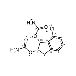 NC(=O)O[C@H]1Cc2cccc(Cl)c2[C@H]1OC(N)=O